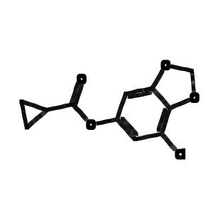 O=C(Oc1cc(Cl)c2c(c1)OCO2)C1CC1